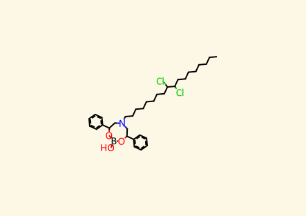 CCCCCCCCC(Cl)C(Cl)CCCCCCCCN1CC(c2ccccc2)OB(O)OC(c2ccccc2)C1